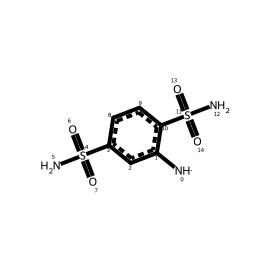 [NH]c1cc(S(N)(=O)=O)ccc1S(N)(=O)=O